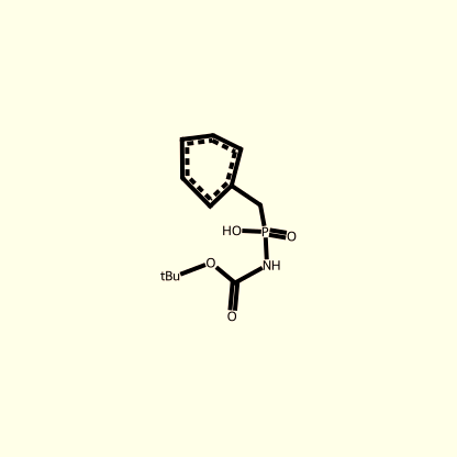 CC(C)(C)OC(=O)NP(=O)(O)Cc1ccccc1